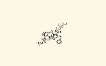 CCC(CC)OC(=O)OC(C)OC(=O)C1=C(/C=C\c2cccnc2)CS[C@@H]2[C@H](NC(=O)/C(=N\O)c3csc(N)n3)C(=O)N12